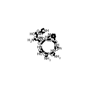 CC(C)C[C@@H]1NC(=O)[C@@H](Cc2ccccc2)NC(=O)[C@H](CCN)NC(=O)[C@@H](NC(=O)[C@H](CCN)NC(=O)[C@@H](NC(=O)C2CCNCC2)C(C)O)CCNC(=O)[C@H](C(C)O)NC(=O)[C@H](CCN)NC(=O)[C@H](CCN)NC1=O